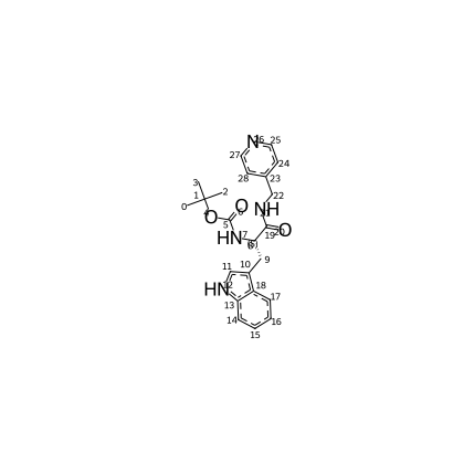 CC(C)(C)OC(=O)N[C@@H](Cc1c[nH]c2ccccc12)C(=O)NCc1ccncc1